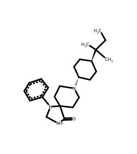 CCC(C)(C)[C@H]1CC[C@H](N2CCC3(CC2)C(=O)NCN3c2ccccc2)CC1